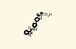 Cn1nc(C(=O)Nc2ccc([C@H]3CC[C@H](C(=O)NC(C)(C)C(=O)O)CC3)cc2)c2ccccc21